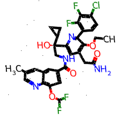 CCOc1c(CC(N)=O)cc([C@@](O)(CNC(=O)c2cc(OC(F)F)c3ncc(C)cc3c2)C2CC2)nc1-c1ccc(Cl)c(F)c1F